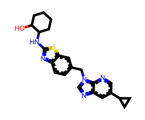 OC1CCCCC1Nc1nc2ccc(Cn3cnc4cc(C5CC5)cnc43)cc2s1